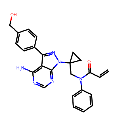 C=CC(=O)N(CC1(n2nc(-c3ccc(CO)cc3)c3c(N)ncnc32)CC1)c1ccccc1